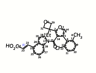 CCC1(c2onc(-c3c(C)cccc3Cl)c2C(=O)n2ccc3c(/C=C/C(=O)O)cccc32)COC1